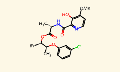 COc1ccnc(C(=O)N[C@@H](C)C(=O)O[C@H](C(C)C)[C@H](C)Oc2cccc(Cl)c2)c1O